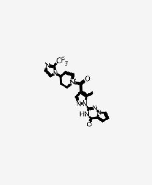 Cc1c(C(=O)N2CCC(n3ccnc3C(F)(F)F)CC2)cnn1-c1nn2cccc2c(=O)[nH]1